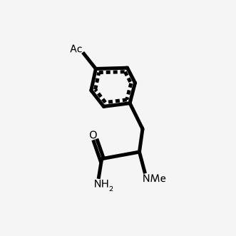 CNC(Cc1ccc(C(C)=O)cc1)C(N)=O